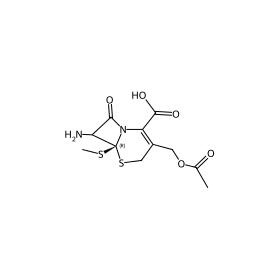 CS[C@]12SCC(COC(C)=O)=C(C(=O)O)N1C(=O)C2N